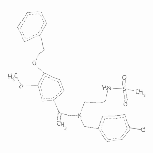 C=C(c1ccc(OCc2ccccc2)c(OC)c1)N(CCNS(C)(=O)=O)Cc1ccc(Cl)cc1